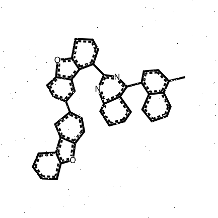 Cc1ccc(-c2nc(-c3cccc4oc5ccc(-c6ccc7oc8ccccc8c7c6)cc5c34)nc3ccccc23)c2ccccc12